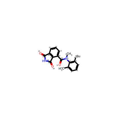 Cc1cccc(C(C)(C)C)c1N(C)C(=O)c1cccc2c1C(=O)NC2=O